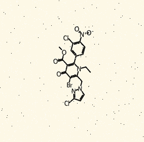 CCn1c(Cn2ccc(Cl)n2)c(Br)c(=O)c(C(=O)OC)c1-c1ccc([N+](=O)[O-])c(Cl)c1